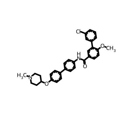 COc1ccc(C(=O)Nc2ccc(-c3ccc(OC4CCN(C)CC4)cc3)cc2)cc1-c1cccc(Cl)c1